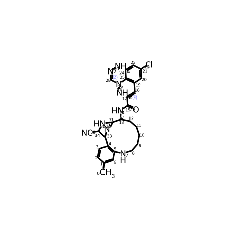 Cc1ccc2c(c1)NCCCCC[C@H](NC(=O)/C=C/c1cc(Cl)ccc1N(N)/C=N\N)C1=NC2C(C#N)N1